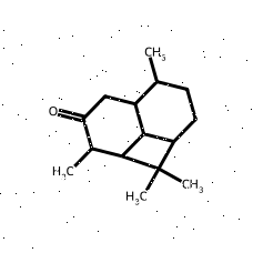 CC1CCC2C3C1CC(=O)C(C)C3C2(C)C